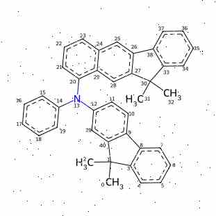 CC1(C)c2ccccc2-c2ccc(N(c3ccccc3)c3cccc4cc5c(cc34)C(C)(C)c3ccccc3-5)cc21